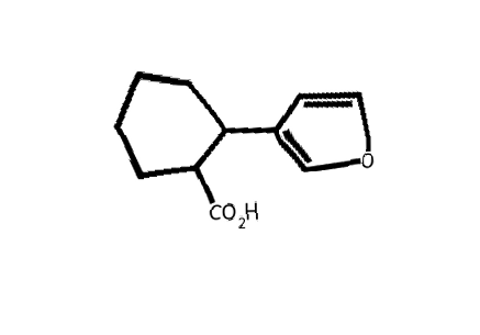 O=C(O)C1CCCCC1c1ccoc1